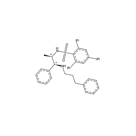 CC(C)c1cc(C(C)C)c(S(=O)(=O)N[C@H](C)[C@@H](NCCCc2ccccc2)c2ccccc2)c(C(C)C)c1